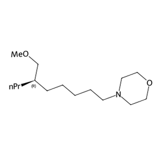 CCC[C@H](CCCCCN1CCOCC1)COC